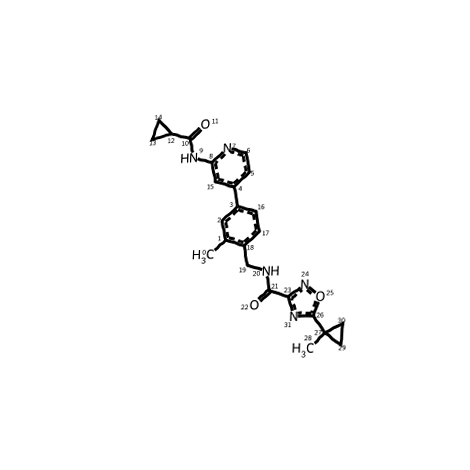 Cc1cc(-c2ccnc(NC(=O)C3CC3)c2)ccc1CNC(=O)c1noc(C2(C)CC2)n1